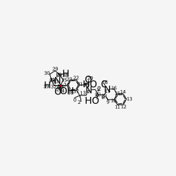 CC1(C)CN(C[C@H](O)[C@@H]2Cc3ccccc3CN2C(=O)O)C(=O)c2ccc(C(=O)N3[C@@H]4CC[C@H]3C[C@@H](O)C4)cc21